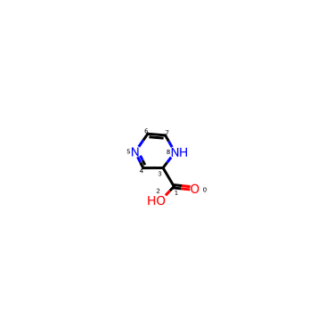 O=C(O)C1C=NC=CN1